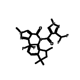 CC1CC(C)(C)c2cccc(N(C(=O)c3cn(C)nc3C(F)F)C(=O)c3cn(C)nc3C(F)F)c21